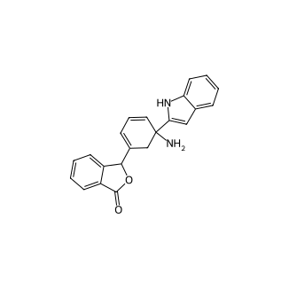 NC1(c2cc3ccccc3[nH]2)C=CC=C(C2OC(=O)c3ccccc32)C1